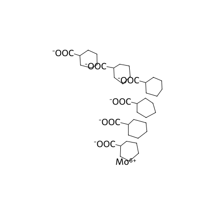 O=C([O-])C1CCCCC1.O=C([O-])C1CCCCC1.O=C([O-])C1CCCCC1.O=C([O-])C1CCCCC1.O=C([O-])C1CCCCC1.O=C([O-])C1CCCCC1.[Mo+6]